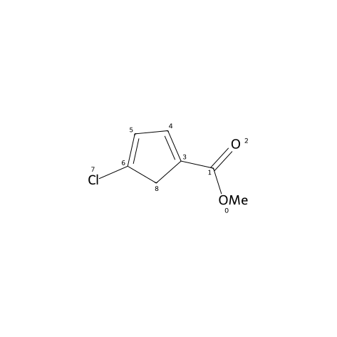 COC(=O)C1=CC=C(Cl)C1